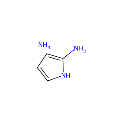 N.Nc1ccc[nH]1